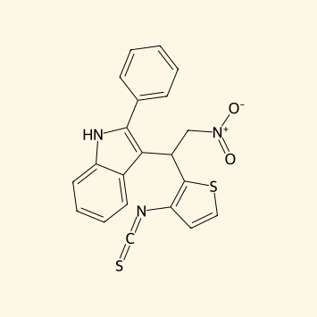 O=[N+]([O-])CC(c1sccc1N=C=S)c1c(-c2ccccc2)[nH]c2ccccc12